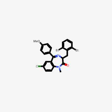 CCc1cccc(CC)c1CC1N=C(c2ccc(OC)cc2)c2cc(Cl)ccc2N(C)C1=O